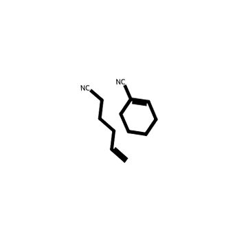 C=CCCCC#N.N#CC1=CCCCC1